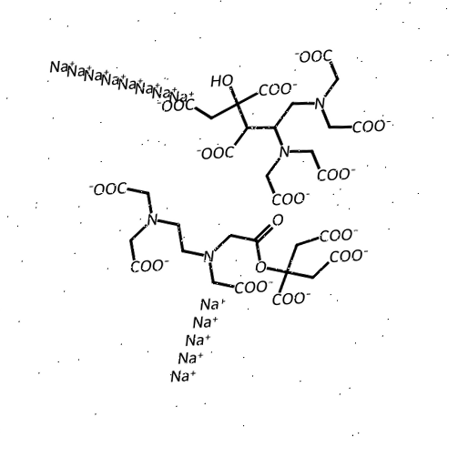 O=C([O-])CN(CC(=O)[O-])CC(C(C(=O)[O-])C(O)(CC(=O)[O-])C(=O)[O-])N(CC(=O)[O-])CC(=O)[O-].O=C([O-])CN(CCN(CC(=O)[O-])CC(=O)OC(CC(=O)[O-])(CC(=O)[O-])C(=O)[O-])CC(=O)[O-].[Na+].[Na+].[Na+].[Na+].[Na+].[Na+].[Na+].[Na+].[Na+].[Na+].[Na+].[Na+].[Na+]